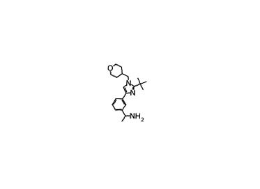 CC(N)c1cccc(-c2cn(CC3CCOCC3)c(C(C)(C)C)n2)c1